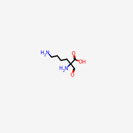 NCCCCC(N)(C=O)C(=O)O